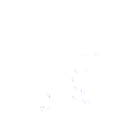 COc1ccc(Cc2nc(N)nn2-c2cc(OCCS(=O)(=O)c3ccc(C)cc3)ncn2)cc1N=O